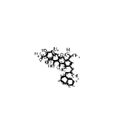 C=C(Cc1cc(C(C)C)c2c(c1O)C(=O)C1=C(O)[C@@]3(O)C(=O)C(C(C)=O)=C(O)C[C@@]3(C)C[C@@]1(C)C2)Cc1cccc2ccccc12